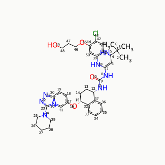 CC(C)(C)C(=N)/C=C(/NC(=O)N[C@H]1CC[C@@H](Oc2ccc3nnc(N4CCCCC4)n3c2)c2ccccc21)Nc1ccc(Cl)c(OCCCO)c1